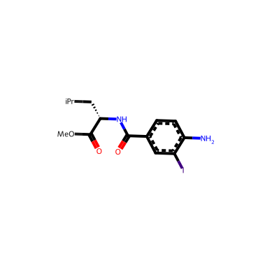 COC(=O)[C@H](CC(C)C)NC(=O)c1ccc(N)c(I)c1